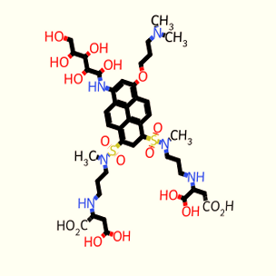 CN(C)CCCOc1cc(NC(O)C(O)C(O)C(O)CO)c2ccc3c4c(ccc1c24)C(S(=O)(=O)N(C)CCCNC(CC(=O)O)C(O)O)CC=3S(=O)(=O)N(C)CCCNC(CC(O)O)C(=O)O